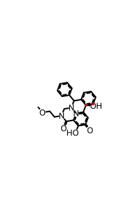 COCCN1CN(C(c2ccccc2)c2ccccc2)n2c(CO)cc(=O)c(O)c2C1=O